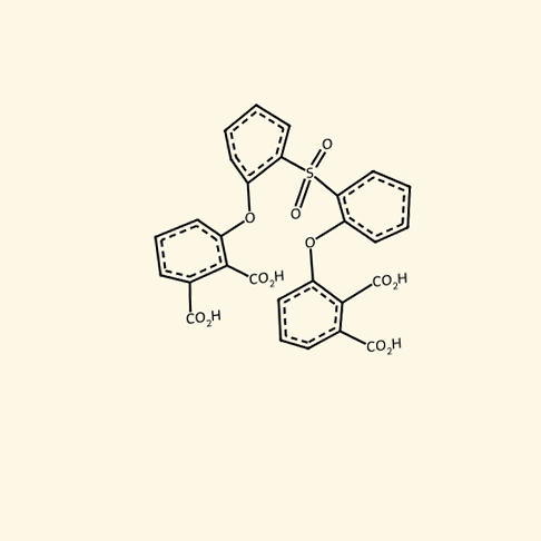 O=C(O)c1cccc(Oc2ccccc2S(=O)(=O)c2ccccc2Oc2cccc(C(=O)O)c2C(=O)O)c1C(=O)O